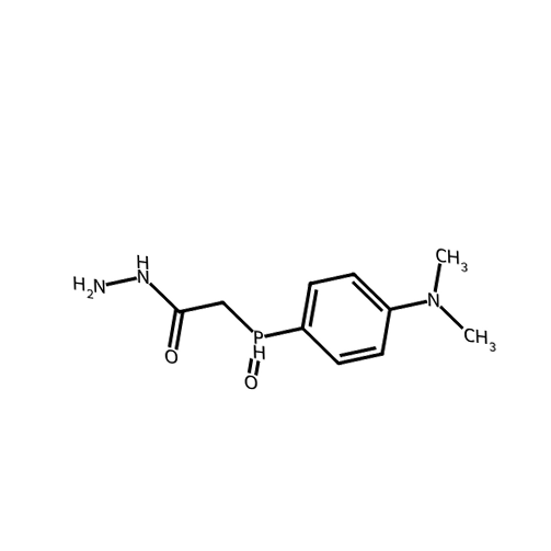 CN(C)c1ccc([PH](=O)CC(=O)NN)cc1